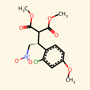 COC(=O)C(C(=O)OC)[C@@H](C[N+](=O)[O-])c1ccc(OC)cc1Cl